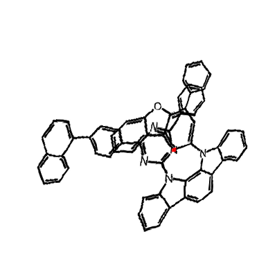 c1ccc(-c2nc(-c3ccc(-c4cccc5ccccc45)cc3)nc(-n3c4ccccc4c4ccc5c6ccccc6n(-c6cc(-c7ccccc7)c7oc8ccccc8c7c6)c5c43)n2)cc1